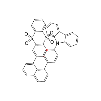 O=S1(=O)c2ccccc2S(=O)(=O)c2cc(-c3cccc4cccc(-c5ccc(-n6c7ccccc7c7ccccc76)cc5)c34)ccc21